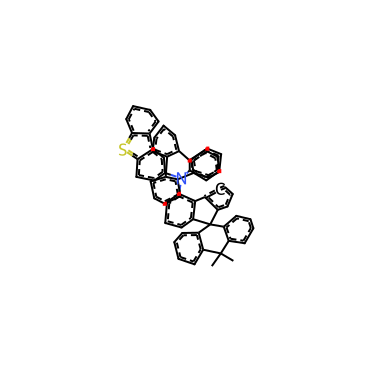 CC1(C)c2ccccc2C2(c3ccccc3-c3c(N(c4ccc5sc6ccccc6c5c4)c4ccccc4-c4ccccc4-c4ccccc4-c4ccccc4)cccc32)c2ccccc21